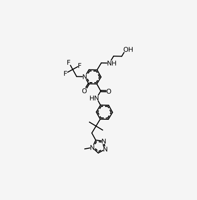 Cn1cnnc1CC(C)(C)c1cccc(NC(=O)c2cc(CNCCO)cn(CC(F)(F)F)c2=O)c1